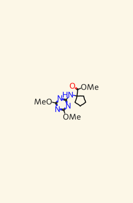 COC(=O)C1(Nc2nc(OC)nc(OC)n2)CCCC1